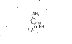 COc1ccc(CN)cc1N=N